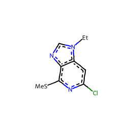 CCn1cnc2c(SC)nc(Cl)cc21